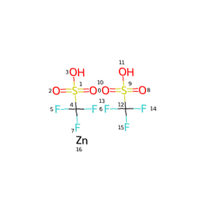 O=S(=O)(O)C(F)(F)F.O=S(=O)(O)C(F)(F)F.[Zn]